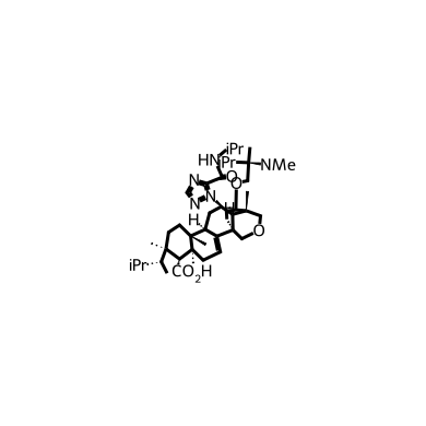 CN[C@@](C)(COC1[C@H](n2ncnc2C(=O)NC(C)C)C[C@@]23COC[C@]1(C)[C@@H]2CC[C@H]1C3=CC[C@@]2(C)[C@H](C(=O)O)[C@@](C)([C@H](C)C(C)C)CC[C@]12C)C(C)C